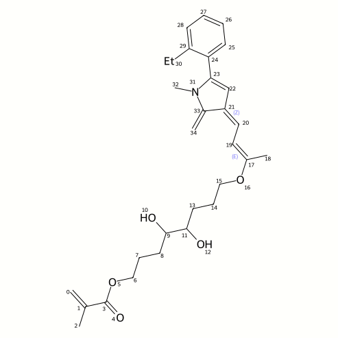 C=C(C)C(=O)OCCCC(O)C(O)CCCO/C(C)=C/C=c1/cc(-c2ccccc2CC)n(C)c1=C